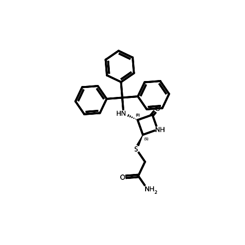 NC(=O)CS[C@@H]1NC(=O)[C@H]1NC(c1ccccc1)(c1ccccc1)c1ccccc1